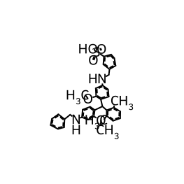 COc1cc(NCc2ccccc2)ccc1C(c1ccc(NCc2cccc(S(=O)(=O)O)c2)cc1OC)c1c(C)cccc1C